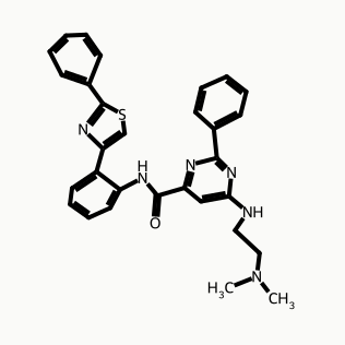 CN(C)CCNc1cc(C(=O)Nc2ccccc2-c2csc(-c3ccccc3)n2)nc(-c2ccccc2)n1